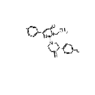 CCn1c(N2CCN[C@@H](c3ccc(Cl)cc3)C2)nc(-c2ccncc2)cc1=O